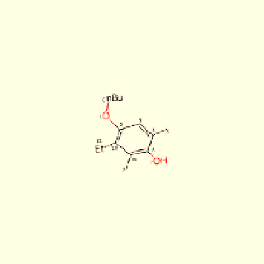 CCCCOc1cc(C)c(O)c(C)c1CC